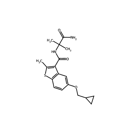 Cc1sc2ccc(OCC3CC3)cc2c1C(=O)NC(C)(C)C(N)=O